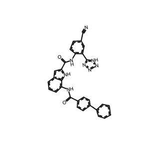 N#Cc1ccc(NC(=O)c2cc3cccc(NC(=O)c4ccc(-c5ccccc5)cc4)c3[nH]2)c(-c2nnn[nH]2)c1